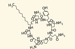 CCCCCCCCCCCC1CC(=O)NC(CC(N)=O)C(=O)NC(Cc2ccc(O)cc2)C(=O)NC(CC(N)=O)C(=O)NC(CCC(N)=O)C(=O)N2CCCC2C(=O)NC(CC(N)=O)C(=O)NC(CO)C(=O)N1